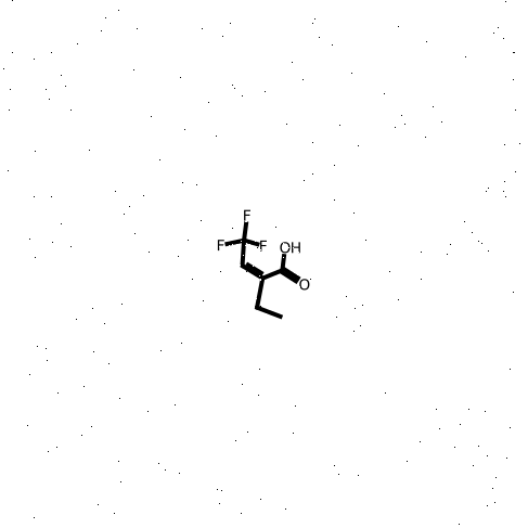 CCC(=CC(F)(F)F)C(=O)O